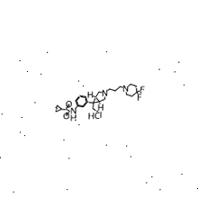 CCC1(c2cccc(NS(=O)(=O)C3CC3)c2)[C@@H]2CN(CCCN3CCC(F)(F)CC3)C[C@@H]21.Cl